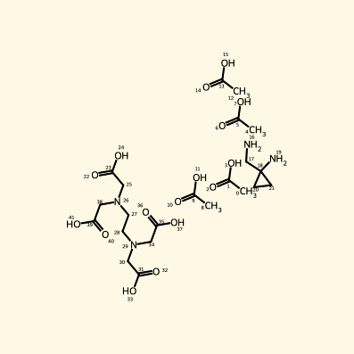 CC(=O)O.CC(=O)O.CC(=O)O.CC(=O)O.NCC1(N)CC1.O=C(O)CN(CCN(CC(=O)O)CC(=O)O)CC(=O)O